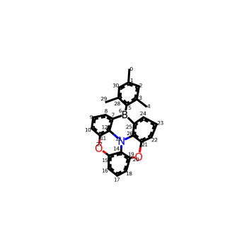 Cc1cc(C)c(B2c3cccc4c3N3c5c(cccc5Oc5cccc2c53)O4)c(C)c1